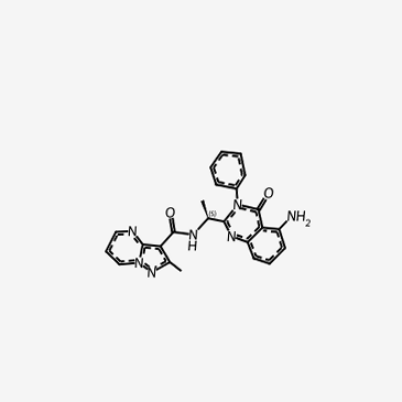 Cc1nn2cccnc2c1C(=O)N[C@@H](C)c1nc2cccc(N)c2c(=O)n1-c1ccccc1